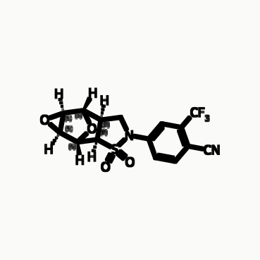 N#Cc1ccc(N2C[C@@H]3[C@@H]4O[C@@H]([C@H]5O[C@H]54)[C@@H]3S2(=O)=O)cc1C(F)(F)F